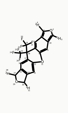 [2H]c1oc([2H])c2cc3c(cc12)Oc1cc2c(cc1C3(C(F)(F)F)C(F)(F)F)C([2H])OC2[2H]